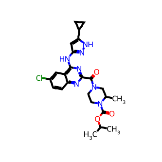 CC(C)OC(=O)N1CCN(C(=O)c2nc(Nc3cc(C4CC4)[nH]n3)c3cc(Cl)ccc3n2)CC1C